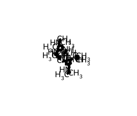 Cc1c(NC(C)C)cc(NC(C)C)cc1NC(C)(C)CC(C)(C)NCc1cc(CNC(C)C)cc(CNC(C)(C)C)c1